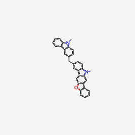 Cn1c2ccccc2c2cc(Cc3ccc4c(c3)c3cc5oc6ccccc6c5cc3n4C)ccc21